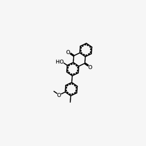 COc1cc(-c2cc(O)c3c(c2)C(=O)c2ccccc2C3=O)ccc1C